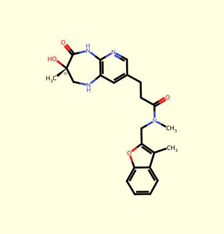 Cc1c(CN(C)C(=O)CCc2cnc3c(c2)NC[C@](C)(O)C(=O)N3)oc2ccccc12